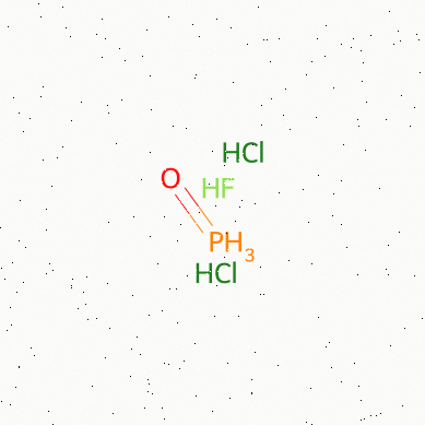 Cl.Cl.F.O=[PH3]